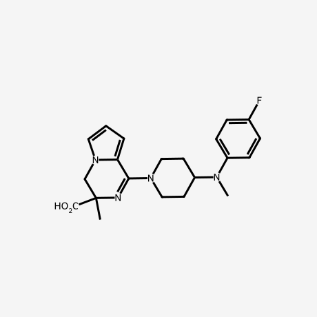 CN(c1ccc(F)cc1)C1CCN(C2=NC(C)(C(=O)O)Cn3cccc32)CC1